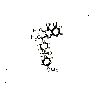 COc1ccc(S(=O)(=O)N2CCN(C(C)c3nc4cccc(Cl)c4c(=O)n3C)CC2)cc1